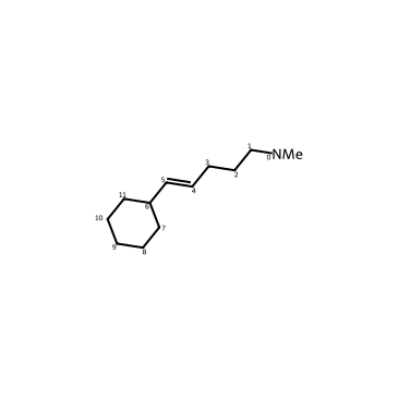 CNCCCC=CC1CCCCC1